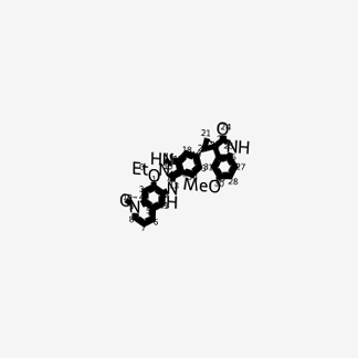 CCOc1cc2c(ccc[n+]2[O-])cc1Nc1n[nH]c2cc([C@@H]3C[C@@]34C(=O)Nc3ccc(OC)cc34)ccc12